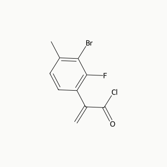 C=C(C(=O)Cl)c1ccc(C)c(Br)c1F